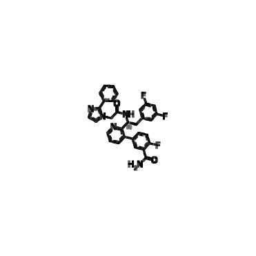 NC(=O)c1cc(-c2cccnc2[C@H](Cc2cc(F)cc(F)c2)NC(=O)Cn2ccnc2-c2ccccc2)ccc1F